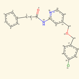 O=C(CCc1ccccc1)Nc1cc(COCc2ccc(Cl)cc2)ccn1